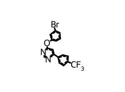 FC(F)(F)c1ccc(-c2cc(Oc3cccc(Br)c3)ncn2)cc1